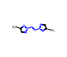 O=[N+]([O-])c1cnn(/N=N/n2ncc([N+](=O)[O-])n2)n1